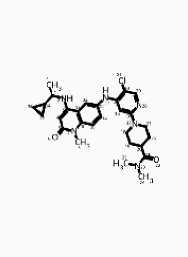 C[C@@H](Nc1cc(=O)n(C)c2ccc(Nc3cc(N4CCC(C(=O)N(C)C)CC4)ncc3Cl)cc12)C1CC1